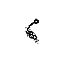 C[C@H](CCC#Cc1ccccc1)[C@H]1CC[C@H]2[C@@H]3CC=C4C[C@@H](OPI)CC[C@]4(C)[C@H]3CC[C@]12C